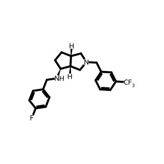 Fc1ccc(CN[C@H]2CC[C@@H]3CN(Cc4cccc(C(F)(F)F)c4)C[C@@H]32)cc1